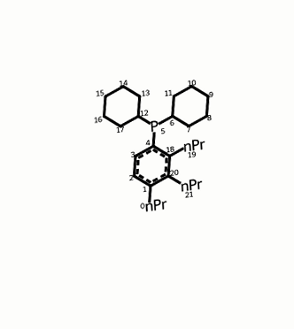 CCCc1ccc(P(C2CCCCC2)C2CCCCC2)c(CCC)c1CCC